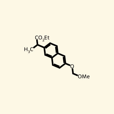 CCOC(=O)C(C)c1ccc2cc(OCOC)ccc2c1